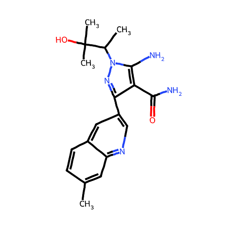 Cc1ccc2cc(-c3nn(C(C)C(C)(C)O)c(N)c3C(N)=O)cnc2c1